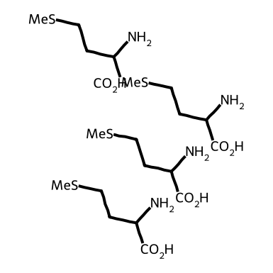 CSCCC(N)C(=O)O.CSCCC(N)C(=O)O.CSCCC(N)C(=O)O.CSCCC(N)C(=O)O